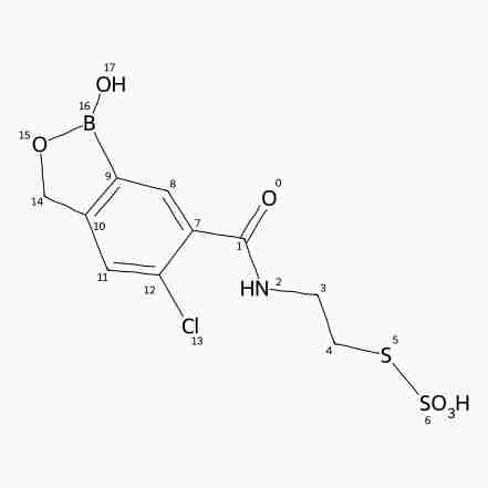 O=C(NCCSS(=O)(=O)O)c1cc2c(cc1Cl)COB2O